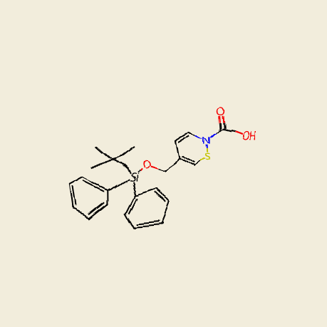 CC(C)(C)[Si](OCC1=CSN(C(=O)O)C=C1)(c1ccccc1)c1ccccc1